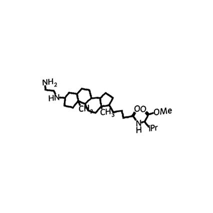 COC(=O)C(NC(=O)CCCC1CCC2C3CCC4CC(NCCN)CCC4(C)C3CCC12C)C(C)C